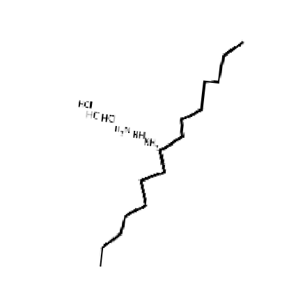 CCCCCCCCCCCCCCC.Cl.Cl.Cl.N.N.N